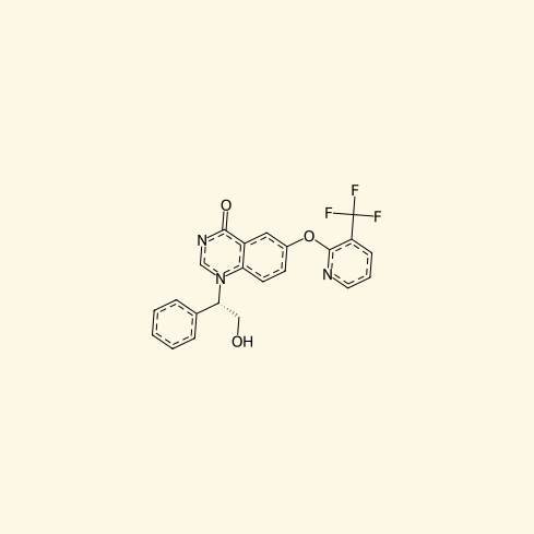 O=c1ncn([C@H](CO)c2ccccc2)c2ccc(Oc3ncccc3C(F)(F)F)cc12